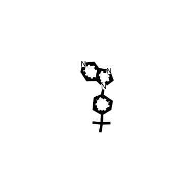 CC(C)(C)c1ccc(-n2cnc3cnccc32)cc1